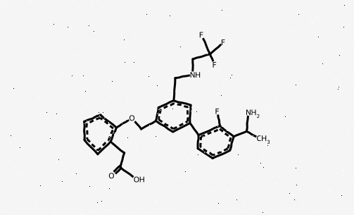 CC(N)c1cccc(-c2cc(CNCC(F)(F)F)cc(COc3ccccc3CC(=O)O)c2)c1F